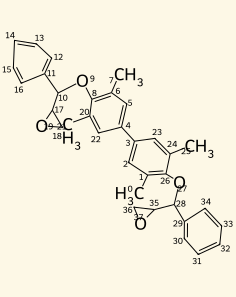 Cc1cc(-c2cc(C)c(OC(c3ccccc3)C3CO3)c(C)c2)cc(C)c1OC(c1ccccc1)C1CO1